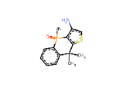 CC(C)P1(=O)c2ccccc2C(C)(C)c2scc(N)c21